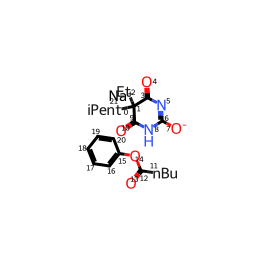 CCCC(C)C1(CC)C(=O)N=C([O-])NC1=O.CCCCC(=O)Oc1ccccc1.[Na+]